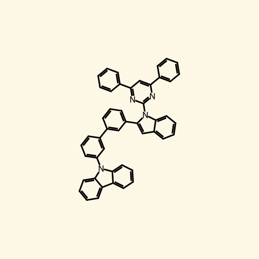 c1ccc(-c2cc(-c3ccccc3)nc(-n3c(-c4cccc(-c5cccc(-n6c7ccccc7c7ccccc76)c5)c4)cc4ccccc43)n2)cc1